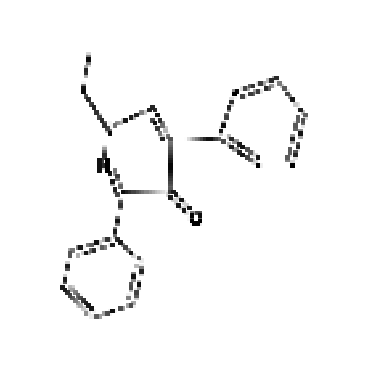 CCn1cc(-c2ccccc2)c(=O)c(-c2ccccc2)n1